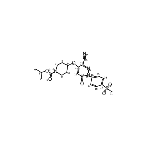 CC(C)OC(=O)N1CCC(Oc2cc(=O)n(-c3ccc(S(C)(=O)=O)cc3)nc2C#N)CC1